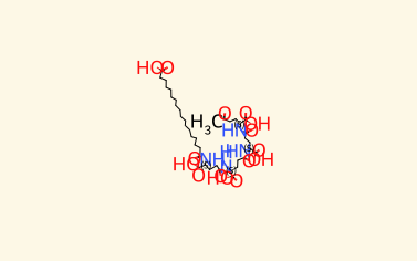 CC(=O)CC[C@H](NC(=O)CC[C@H](NC(=O)CC[C@H](NC(=O)CC[C@H](NC(=O)CCCCCCCCCCCCCCCCC(=O)O)C(=O)O)C(=O)O)C(=O)O)C(=O)O